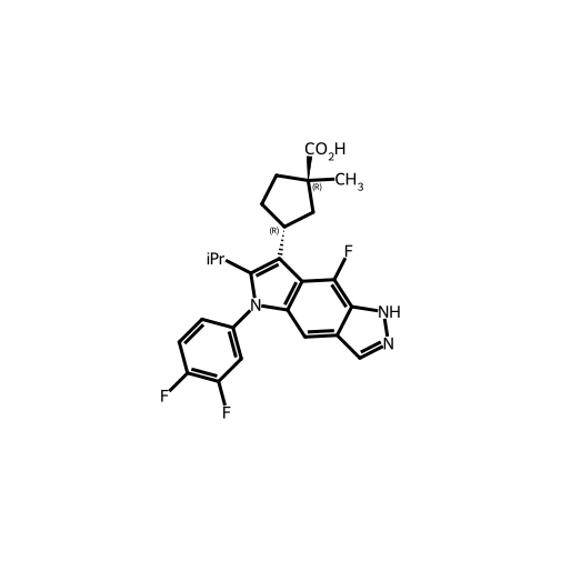 CC(C)c1c([C@@H]2CC[C@@](C)(C(=O)O)C2)c2c(F)c3[nH]ncc3cc2n1-c1ccc(F)c(F)c1